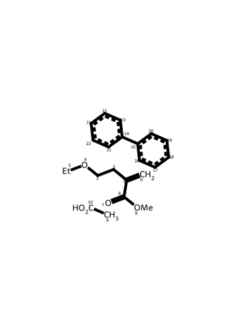 C=C(CCOCC)C(=O)OC.CC(=O)O.c1ccc(-c2ccccc2)cc1